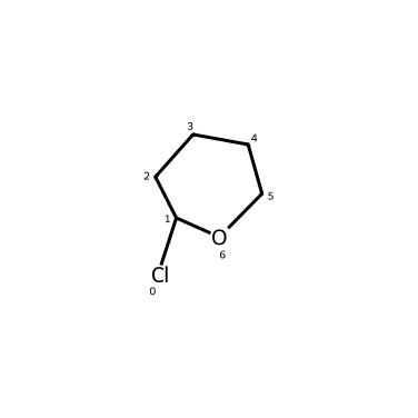 ClC1CCCCO1